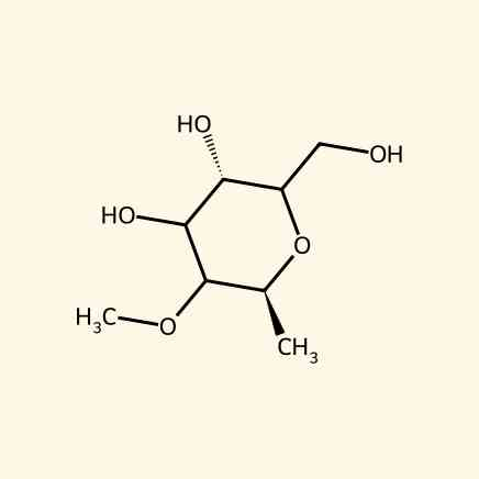 COC1C(O)[C@H](O)C(CO)O[C@H]1C